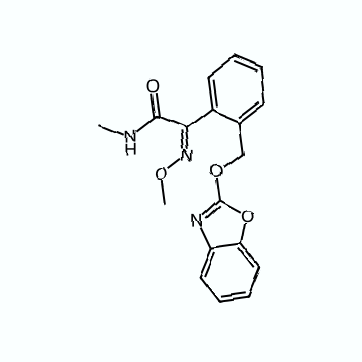 CNC(=O)C(=NOC)c1ccccc1COc1nc2ccccc2o1